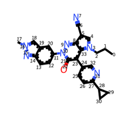 CCCn1cc(C#N)c2nn(-c3ccc4nn(C)cc4c3)c(=O)c(-c3ccc(C4CC4)nc3)c21